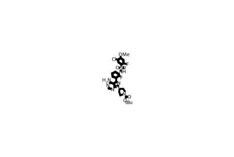 COc1cc(F)c(S(=O)(=O)Nc2cccc(-c3nn(C4CCN(C(=O)OC(C)(C)C)CC4)c4ncnc(N)c34)c2F)cc1Cl